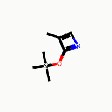 CC1=CN=C1O[Si](C)(C)C